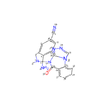 CN(C)C(N)(c1ccc(C#N)cc1)n1c(=O)c2ccccc2n2cnnc12